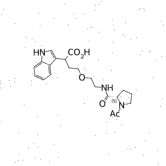 CC(=O)N1CCC[C@H]1C(=O)NCCOCCC(C(=O)O)c1c[nH]c2ccccc12